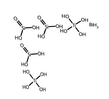 O=[Si](O)O.O=[Si](O)O.O=[Si](O)O.[BiH3].[OH][Ti]([OH])([OH])[OH].[OH][Ti]([OH])([OH])[OH]